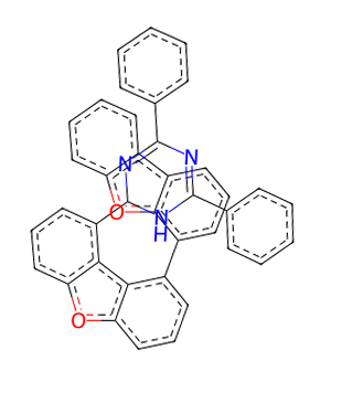 c1ccc(C2=NC(c3cccc4oc5cccc(-c6cccc7c6oc6ccccc67)c5c34)NC(c3ccccc3)=N2)cc1